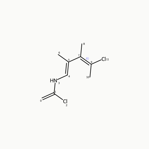 C=C(Cl)NC=C(C)/C(C)=C(\C)Cl